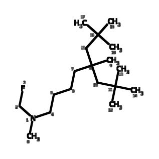 CN(CF)CCCCC(C)(CC(C)(C)C)CC(C)(C)C